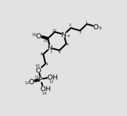 [O]CCCN1CCN(CCOP(=O)(O)O)C(=O)C1